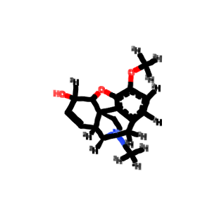 [2H]c1c([2H])c2c3c(c1OC([2H])([2H])[2H])OC1C([2H])(O)C=C[C@]4([2H])[C@@]31CCN(C([2H])([2H])[2H])[C@]4([2H])C2([2H])[2H]